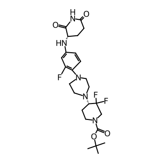 CC(C)(C)OC(=O)N1CC[C@H](N2CCN(c3ccc(N[C@H]4CCC(=O)NC4=O)cc3F)CC2)C(F)(F)C1